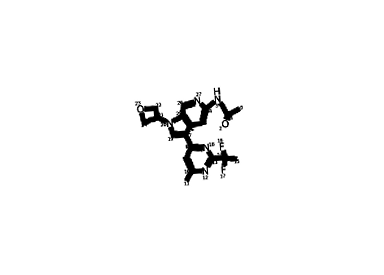 CC(=O)Nc1cc2c(-c3cc(C)nc(C(C)(F)F)n3)cn(C3COC3)c2cn1